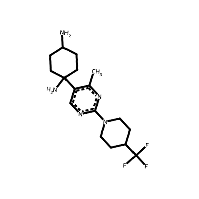 Cc1nc(N2CCC(C(F)(F)F)CC2)ncc1C1(N)CCC(N)CC1